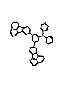 c1cccc(N(c2ccncc2)c2cc(-c3ccc4c(c3)-c3cccc5cccc-4c35)cc(-c3ccc4c(c3)-c3cccc5cccc-4c35)c2)c#1